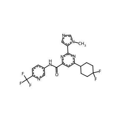 Cn1cncc1-c1nc(C(=O)Nc2ccc(C(F)(F)F)nc2)cc(C2CCC(F)(F)CC2)n1